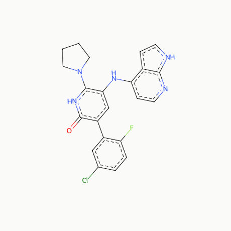 O=c1[nH]c(N2CCCC2)c(Nc2ccnc3[nH]ccc23)cc1-c1cc(Cl)ccc1F